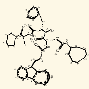 C[C@H](NC(=O)[C@H](Cc1ccccc1)N(C)C(=O)[C@H](CC(=O)OC1CCCCCCC1)NC(=O)OCC1c2ccccc2-c2ccccc21)C(=O)N1CCCCC1